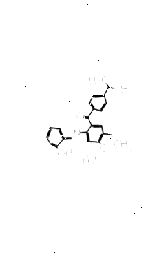 COc1cc(NCc2ccccc2O)c(C(=O)c2ccc(C(C)C)cc2)cc1OC